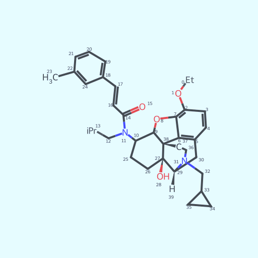 CCOc1ccc2c3c1OC1C(N(CC(C)C)C(=O)/C=C/c4cccc(C)c4)CC[C@@]4(O)[C@@H](C2)N(CC2CC2)CC[C@]314